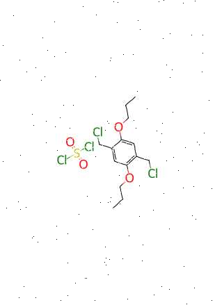 CCCOc1cc(CCl)c(OCCC)cc1CCl.O=S(=O)(Cl)Cl